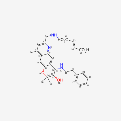 Cc1cc(CN)nc2cc3c(cc12)OC(C)(C)[C@H](O)[C@H]3NCCc1ccccc1.O=C(O)C=CC(=O)O